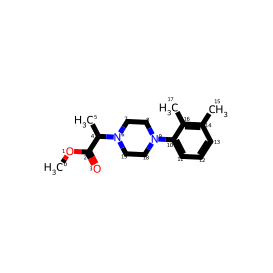 COC(=O)C(C)N1CCN(c2cccc(C)c2C)CC1